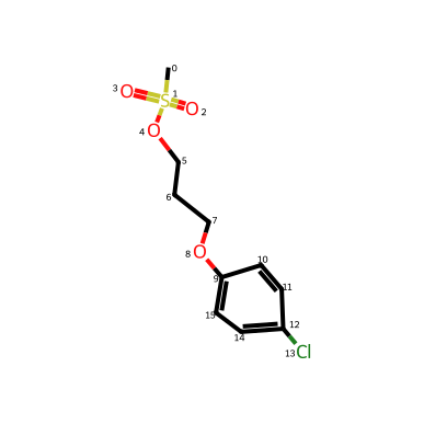 CS(=O)(=O)OCCCOc1ccc(Cl)cc1